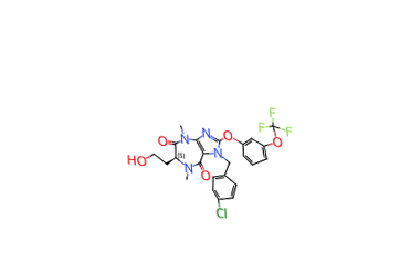 CN1C(=O)[C@H](CCO)N(C)C(=O)c2c1nc(Oc1cccc(OC(F)(F)F)c1)n2Cc1ccc(Cl)cc1